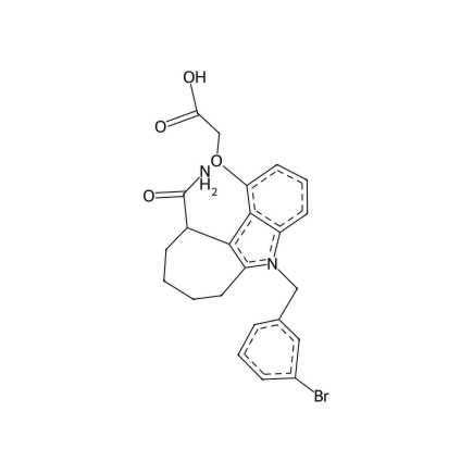 NC(=O)C1CCCCc2c1c1c(OCC(=O)O)cccc1n2Cc1cccc(Br)c1